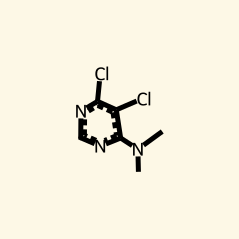 CN(C)c1ncnc(Cl)c1Cl